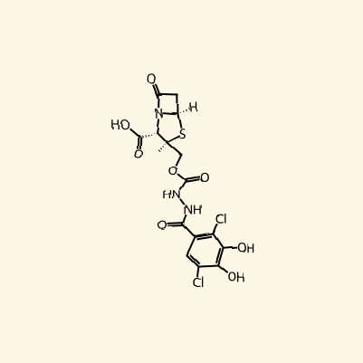 C[C@@]1(COC(=O)NNC(=O)c2cc(Cl)c(O)c(O)c2Cl)S[C@@H]2CC(=O)N2[C@H]1C(=O)O